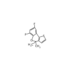 CC1(C)Oc2c(F)cc(F)cc2-c2sccc21